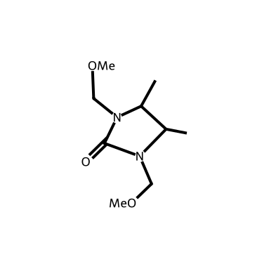 COCN1C(=O)N(COC)C(C)C1C